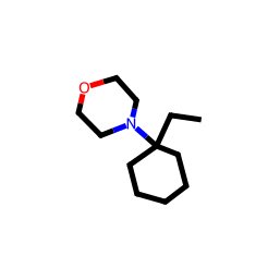 CCC1(N2CCOCC2)CCCCC1